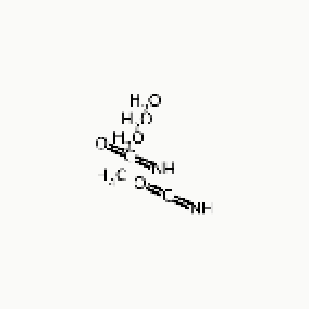 C.N=C=O.N=C=O.O.O.O